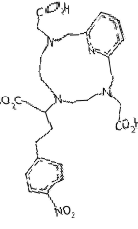 O=C(O)CN1CCN(C(CCc2ccc([N+](=O)[O-])cc2)C(=O)O)CCN(CC(=O)O)Cc2cccc(n2)C1